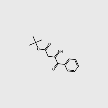 CC(C)(C)OC(=O)CC(=N)C(=O)c1ccccc1